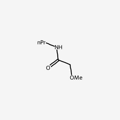 [CH2]CCNC(=O)COC